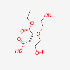 CCOC(=O)/C=C\C(=O)O.OCCOCCO